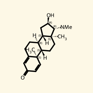 CN[C@H]1[C@H](O)C[C@H]2[C@@H]3CCC4=CC(=O)C=C[C@]4(C)[C@H]3CC[C@@]21C